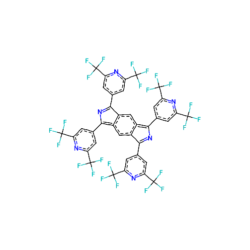 FC(F)(F)c1cc(C2=NC(c3cc(C(F)(F)F)nc(C(F)(F)F)c3)=c3cc4c(cc32)=C(c2cc(C(F)(F)F)nc(C(F)(F)F)c2)N=C4c2cc(C(F)(F)F)nc(C(F)(F)F)c2)cc(C(F)(F)F)n1